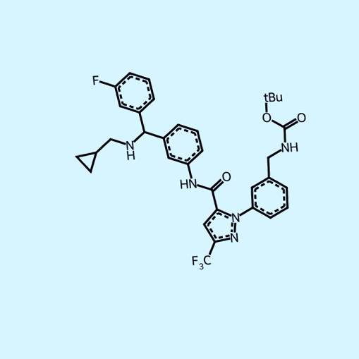 CC(C)(C)OC(=O)NCc1cccc(-n2nc(C(F)(F)F)cc2C(=O)Nc2cccc(C(NCC3CC3)c3cccc(F)c3)c2)c1